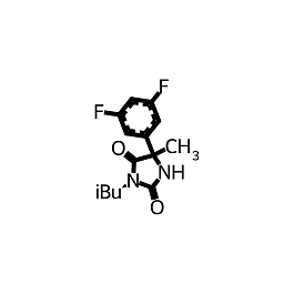 CC[C@@H](C)N1C(=O)NC(C)(c2cc(F)cc(F)c2)C1=O